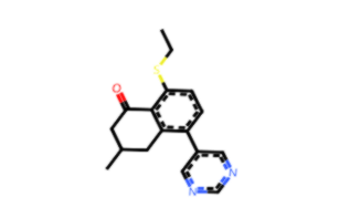 CCSc1ccc(-c2cncnc2)c2c1C(=O)CC(C)C2